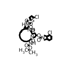 CC(C)OC(=O)NC1CCCCC/C=C\C2CC2(C(=O)NS(=O)(=O)c2ccc(Cl)s2)NC(=O)C2CC(OC(=O)N3Cc4cccc(Cl)c4C3)CN2C1=O